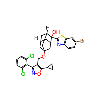 OC1(c2nc3ccc(Br)cc3s2)C2C[C@@H]3C[C@H]1C[C@](OCc1c(-c4c(Cl)cccc4Cl)noc1C1CC1)(C2)C3